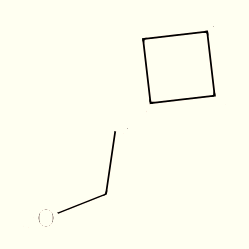 C1CCC1.CC[O]